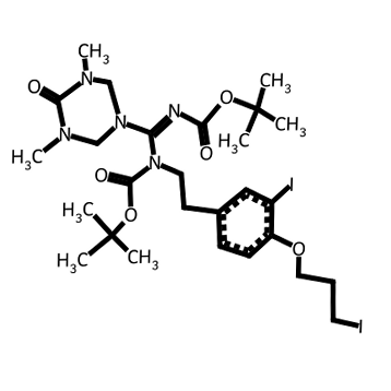 CN1CN(C(=NC(=O)OC(C)(C)C)N(CCc2ccc(OCCCI)c(I)c2)C(=O)OC(C)(C)C)CN(C)C1=O